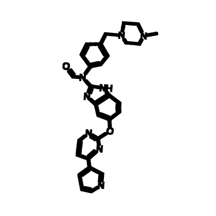 CN1CCN(Cc2ccc(N(C=O)c3nc4cc(Oc5nccc(-c6cccnc6)n5)ccc4[nH]3)cc2)CC1